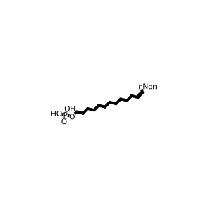 CCCCCCCCC/C=C\CCCCCCCCCCCOP(=O)(O)O